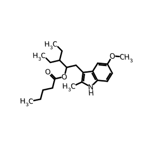 CCCCC(=O)OC(Cc1c(C)[nH]c2ccc(OC)cc12)C(CC)CC